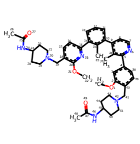 COc1cc(-c2nccc(-c3cccc(-c4ccc(CN5CCC(NC(C)=O)CC5)c(OC)n4)c3C)c2C)ccc1CN1CCC(NC(C)=O)CC1